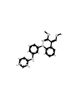 COC=C(C(=O)OC)c1ccccc1Oc1cccc(Oc2ccncn2)c1